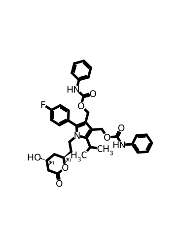 CC(C)c1c(COC(=O)Nc2ccccc2)c(COC(=O)Nc2ccccc2)c(-c2ccc(F)cc2)n1CC[C@@H]1C[C@@H](O)CC(=O)O1